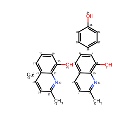 Cc1ccc2cccc(O)c2n1.Cc1ccc2cccc(O)c2n1.Oc1ccccc1.[Ga]